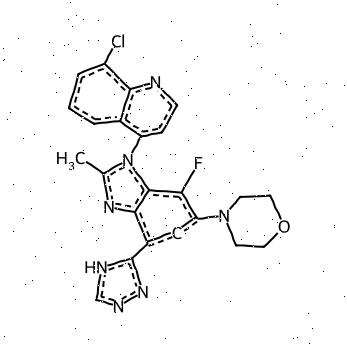 Cc1nc2c(-c3nnc[nH]3)cc(N3CCOCC3)c(F)c2n1-c1ccnc2c(Cl)cccc12